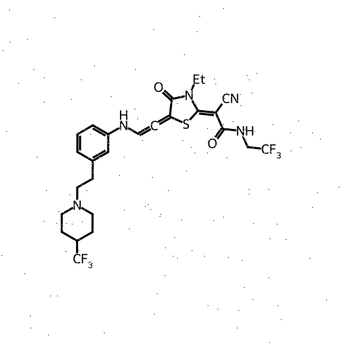 CCn1c(=O)c(=C=CNc2cccc(CCN3CCC(C(F)(F)F)CC3)c2)s/c1=C(/C#N)C(=O)NCC(F)(F)F